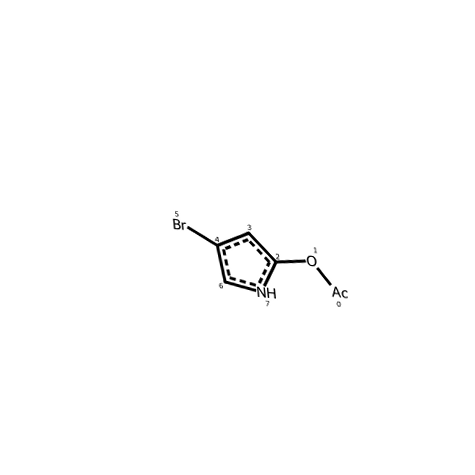 CC(=O)Oc1cc(Br)c[nH]1